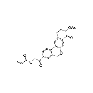 C=CC(=O)OCC(=O)c1ccc2c(c1)COc1cc3c(cc1-2)CCC(OC(C)=O)C3=O